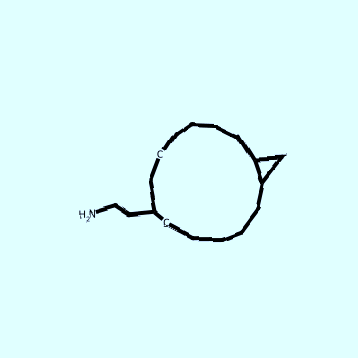 NCCC1CCCCCCC2CC2CCCCC1